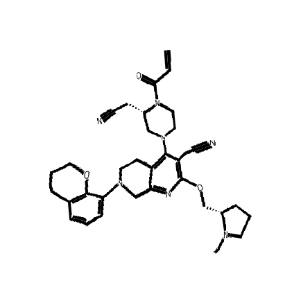 C=CC(=O)N1CCN(c2c(C#N)c(OC[C@@H]3CCCN3C)nc3c2CCN(c2cccc4c2OCCC4)C3)C[C@@H]1CC#N